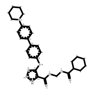 O=C(OCOC(=O)C1CCCCC1)c1[nH]nnc1Sc1ccc(-c2ccc(N3CCCCC3)cc2)cc1